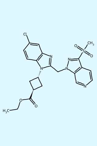 CCOC(=O)[C@H]1C[C@H](n2c(Cn3nc(S(C)(=O)=O)c4ccncc43)nc3cc(Cl)ccc32)C1